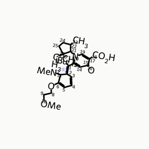 CCC(C)/C(=C1/C=CC=C(OCCOC)C1NC)c1cc(=O)c(C(=O)O)cn1C1C(C)CCC1(C)C